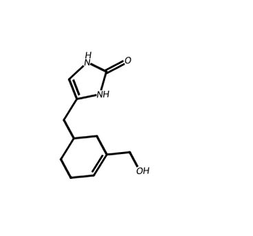 O=c1[nH]cc(CC2CCC=C(CO)C2)[nH]1